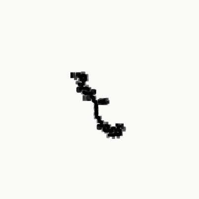 CN(Cc1cccc(N)c1)C(=O)N1CCN(C(=O)CCCCC#CC#CCCCC(O)C(=O)N2CCN(C(=O)N(C)Cc3cccc(N)c3)CC2)CC1.Cl.Cl